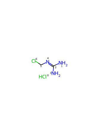 Cl.NC(N)=NCCl